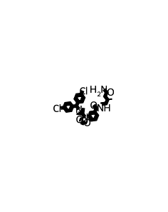 C[C@@H](CCNC(=O)c1cccc(N(C2CN(C(c3ccc(Cl)cc3)c3ccc(Cl)cc3)C2)S(C)(=O)=O)c1)CC(N)=O